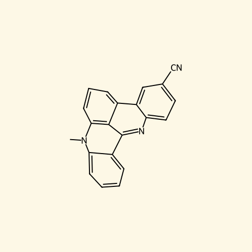 CN1c2ccccc2-c2nc3ccc(C#N)cc3c3cccc1c23